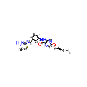 CC#CCOc1cnc(C(=O)Nc2cccc(C/N=C(/N)SCCC)c2)cn1